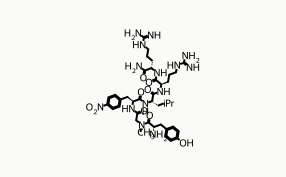 CC(C)C[C@H](NC(=O)[C@H](Cc1ccc([N+](=O)[O-])cc1)NC(=O)CN(C)C(=O)[C@@H](N)Cc1ccc(O)cc1)C(=O)N[C@H](CCCNC(=N)N)C(=O)N[C@@H](CCCNC(=N)N)C(N)=O